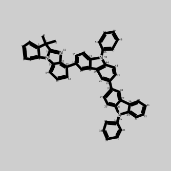 CC1(C)c2ccccc2-n2c1nc1c(-c3ccc4c(c3)c3cc(-c5ccc6c(c5)c5ccccc5n6-c5ccccc5)ccc3n4-c3ccccc3)cccc12